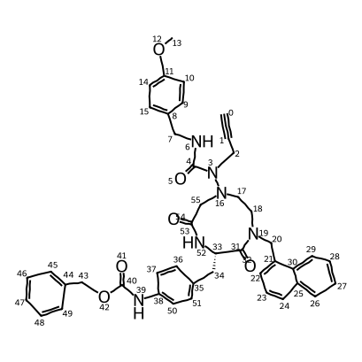 C#CCN(C(=O)NCc1ccc(OC)cc1)N1CCN(Cc2cccc3ccccc23)C(=O)[C@H](Cc2ccc(NC(=O)OCc3ccccc3)cc2)NC(=O)C1